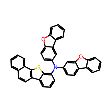 c1ccc2c(c1)ccc1c3cccc(N(c4ccc5c(c4)oc4ccccc45)c4ccc5oc6ccccc6c5c4)c3sc21